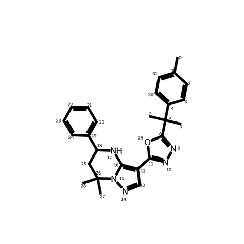 Cc1ccc(C(C)(C)c2nnc(-c3cnn4c3NC(c3ccccc3)CC4(C)C)o2)cc1